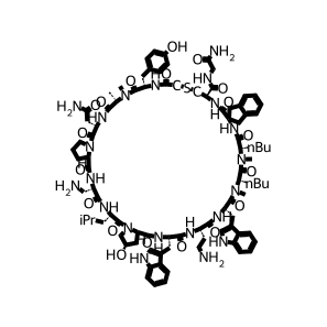 CCCC[C@H]1C(=O)N(C)[C@@H](CCCC)C(=O)NC2(Cc3ccccc3C2)C(=O)N[C@H](C(=O)NCC(N)=O)CSCC(=O)N[C@@H](Cc2ccc(O)cc2)C(=O)N(C)[C@@H](C)C(=O)N[C@@H](CC(N)=O)C(=O)N2CCC[C@H]2C(=O)N[C@@H](CN)C(=O)N[C@@H](CC(C)C)C(=O)N2C[C@H](O)C[C@H]2C(=O)N[C@@H](Cc2c[nH]c3ccccc23)C(=O)N[C@@H](CCN)C(=O)N[C@@H](Cc2c[nH]c3ccccc23)C(=O)N1C